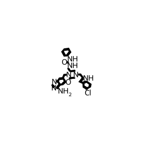 Nc1ncnc2cc(CN3C(=O)CN(Cc4cc5cc(Cl)ccc5[nH]4)CC3CNC(=O)Nc3ccccc3)ccc12